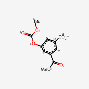 COC(=O)c1cc(OC(=O)OC(C)(C)C)cc(C(=O)O)c1